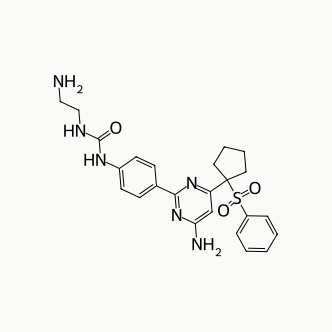 NCCNC(=O)Nc1ccc(-c2nc(N)cc(C3(S(=O)(=O)c4ccccc4)CCCC3)n2)cc1